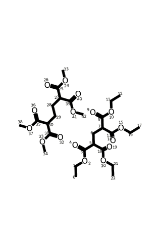 CCOC(=O)C(CC(C(=O)OCC)C(=O)OCC)C(=O)OCC.COC(=O)C(CCC(C(=O)OC)C(=O)OC)C(=O)OC